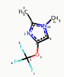 Cc1nc(OC(F)(F)F)cn1C